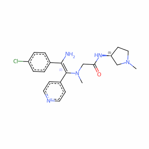 CN1CC[C@H](NC(=O)CN(C)/C(=C(\N)c2ccc(Cl)cc2)c2ccncc2)C1